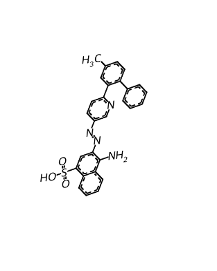 Cc1ccc(-c2ccccc2)c(-c2ccc(/N=N/c3cc(S(=O)(=O)O)c4ccccc4c3N)cn2)c1